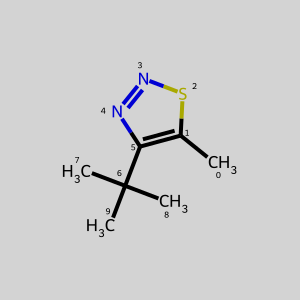 Cc1snnc1C(C)(C)C